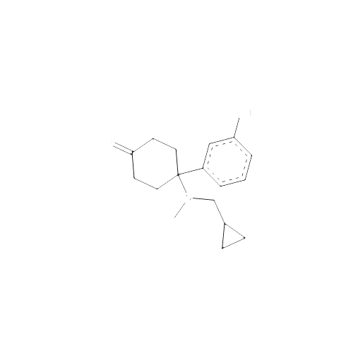 CN(CC1CC1)C1(c2cccc(O)c2)CCC(=O)CC1